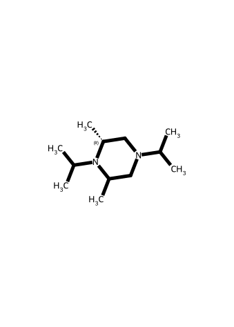 CC(C)N1CC(C)N(C(C)C)[C@H](C)C1